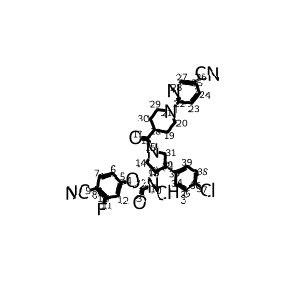 CN(C(=O)Oc1ccc(C#N)c(F)c1)[C@@H]1CN(C(=O)C2CCN(c3ccc(C#N)cn3)CC2)C[C@H]1c1ccc(Cl)cc1